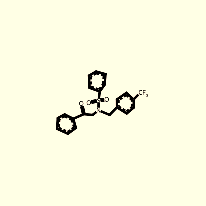 O=C(CN(Cc1ccc(C(F)(F)F)cc1)S(=O)(=O)c1ccccc1)c1ccccc1